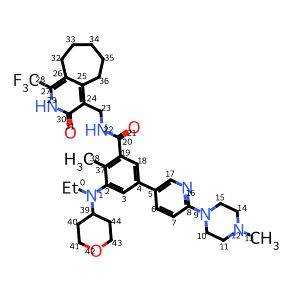 CCN(c1cc(-c2ccc(N3CCN(C)CC3)nc2)cc(C(=O)NCc2c3c(c(C(F)(F)F)[nH]c2=O)CCCCC3)c1C)C1CCOCC1